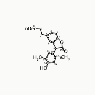 CCCCCCCCCCCCc1ccc2c(c1)C(c1cc(C)c(O)cc1C)C(=O)O2